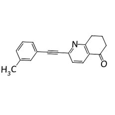 Cc1cccc(C#Cc2ccc3c(n2)CCCC3=O)c1